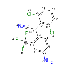 N#CC(c1ccc(N)cc1C(F)(F)F)c1c(Cl)cccc1Cl